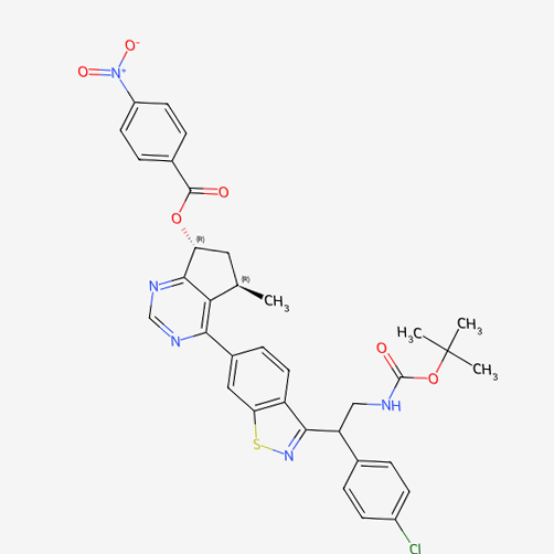 C[C@@H]1C[C@@H](OC(=O)c2ccc([N+](=O)[O-])cc2)c2ncnc(-c3ccc4c(C(CNC(=O)OC(C)(C)C)c5ccc(Cl)cc5)nsc4c3)c21